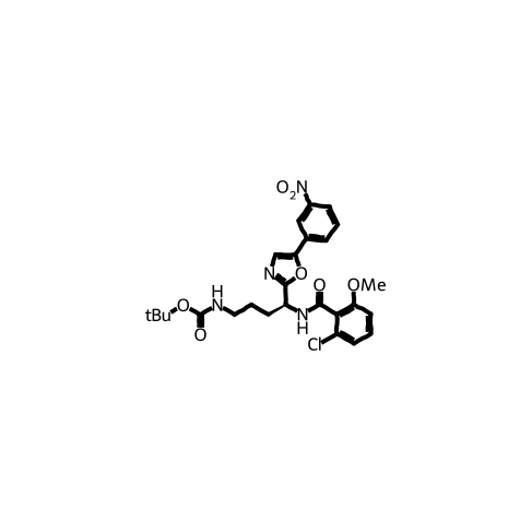 COc1cccc(Cl)c1C(=O)N[C@@H](CCCNC(=O)OC(C)(C)C)c1ncc(-c2cccc([N+](=O)[O-])c2)o1